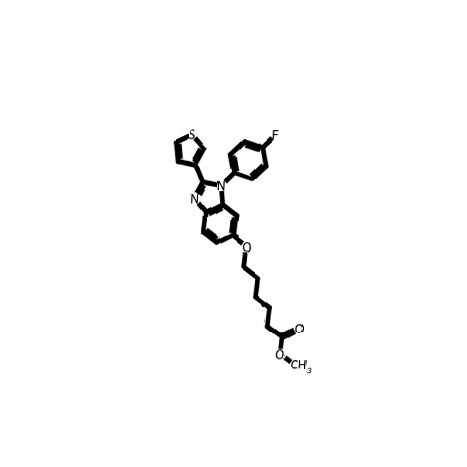 COC(=O)CCCCCOc1ccc2nc(-c3ccsc3)n(-c3ccc(F)cc3)c2c1